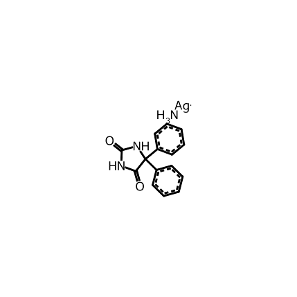 N.O=C1NC(=O)C(c2ccccc2)(c2ccccc2)N1.[Ag]